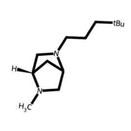 CN1CC2C[C@H]1CN2CCCC(C)(C)C